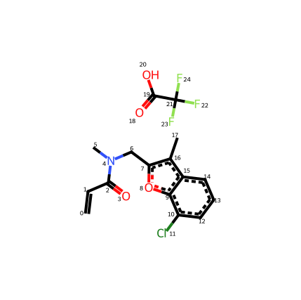 C=CC(=O)N(C)Cc1oc2c(Cl)cccc2c1C.O=C(O)C(F)(F)F